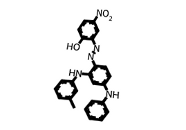 Cc1cccc(Nc2cc(Nc3ccccc3)ccc2N=Nc2cc([N+](=O)[O-])ccc2O)c1